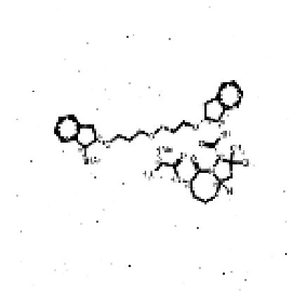 CN[C@@H](C)C(=O)N[C@H]1CCS[C@H]2CC(C)(C)[C@@H](C(=O)N[C@H]3c4ccccc4C[C@H]3OCCCOCCCO[C@@H]3Cc4ccccc4[C@@H]3NC(C)=O)N2C1=O